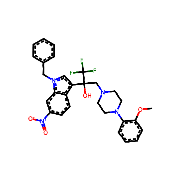 COc1ccccc1N1CCN(CC(O)(c2cn(Cc3ccccc3)c3cc([N+](=O)[O-])ccc23)C(F)(F)F)CC1